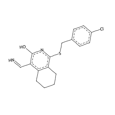 N=Cc1c(O)nc(SCc2ccc(Cl)cc2)c2c1CCCC2